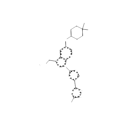 COCc1nn(-c2ncc(-c3nnc(C(F)(F)F)o3)s2)c2ncc(SC3CCC(C)(F)CC3)cc12